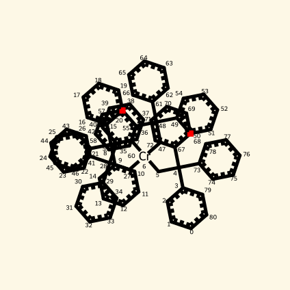 c1ccc(C([CH2][Cr]([CH2]C(c2ccccc2)(c2ccccc2)c2ccccc2)([CH2]C(c2ccccc2)(c2ccccc2)c2ccccc2)[CH2]C(c2ccccc2)(c2ccccc2)c2ccccc2)(c2ccccc2)c2ccccc2)cc1